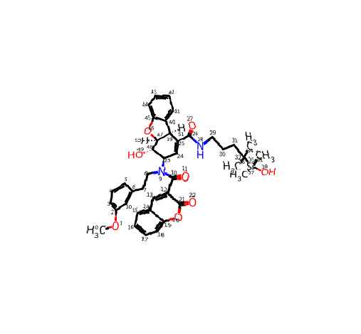 COc1cccc(CCN(C(=O)c2cc3ccccc3oc2=O)[C@@H]2C=C(C(=O)NCCCC(C)(C)[Si](C)(C)O)[C@@H]3c4ccccc4O[C@@H]3[C@H]2O)c1